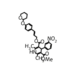 COC(=O)C1=C(C)NC(C)=C(C(=O)OCC=Cc2ccc(OC3CCCCO3)cc2)C1c1cccc([N+](=O)[O-])c1